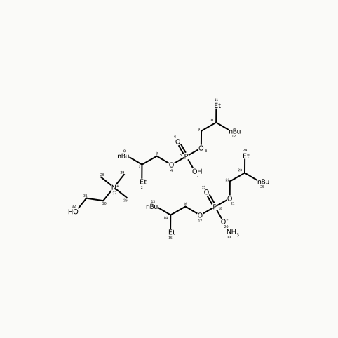 CCCCC(CC)COP(=O)(O)OCC(CC)CCCC.CCCCC(CC)COP(=O)([O-])OCC(CC)CCCC.C[N+](C)(C)CCO.N